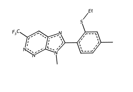 CCSc1cc(C)ccc1-c1nc2cc(C(F)(F)F)nnc2n1C